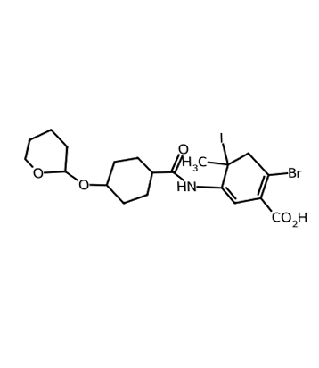 CC1(I)CC(Br)=C(C(=O)O)C=C1NC(=O)C1CCC(OC2CCCCO2)CC1